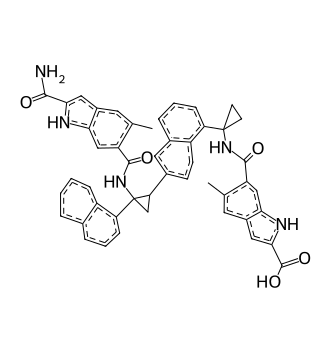 Cc1cc2cc(C(=O)O)[nH]c2cc1C(=O)NC1(c2cccc3cc(C4CC4(NC(=O)c4cc5[nH]c(C(N)=O)cc5cc4C)c4cccc5ccccc45)ccc23)CC1